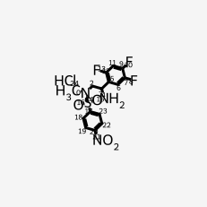 CN(CC(N)c1cc(F)c(F)cc1F)S(=O)(=O)c1ccc([N+](=O)[O-])cc1.Cl